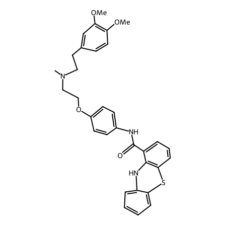 COc1ccc(CCN(C)CCOc2ccc(NC(=O)c3cccc4c3Nc3ccccc3S4)cc2)cc1OC